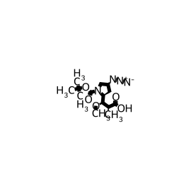 CO[C@H]([C@@H](C)C(=O)O)[C@@H]1C[C@H](N=[N+]=[N-])CN1C(=O)OC(C)(C)C